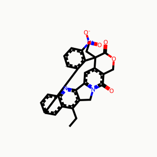 CCc1c2c3nc4ccc(cc14)-c1[c]ccc([N+](=O)[O-])c1C1(CC)C(=O)OCc4c1cc-3n(c4=O)C2